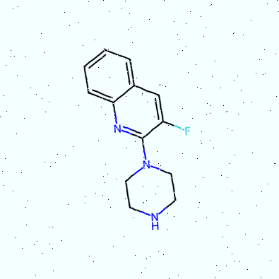 Fc1cc2ccccc2nc1N1CCNCC1